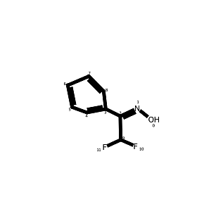 ON=C(c1ccccc1)C(F)F